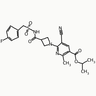 Cc1nc(N2CC(C(=O)NS(=O)(=O)Cc3ccc(F)cc3)C2)c(C#N)cc1C(=O)OC(C)C